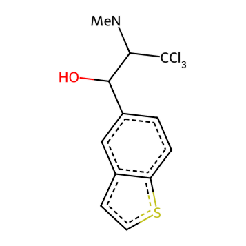 CNC(C(O)c1ccc2sccc2c1)C(Cl)(Cl)Cl